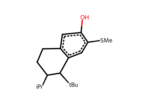 CSc1cc2c(cc1O)CCC(C(C)C)C2C(C)(C)C